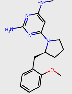 CNc1cc(N2CCC[C@H]2Cc2ccccc2OC)nc(N)n1